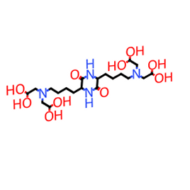 O=C1NC(CCCCN(CC(O)O)CC(O)O)C(=O)NC1CCCCN(CC(O)O)CC(O)O